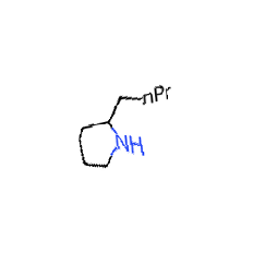 CCCCC1CCCN1